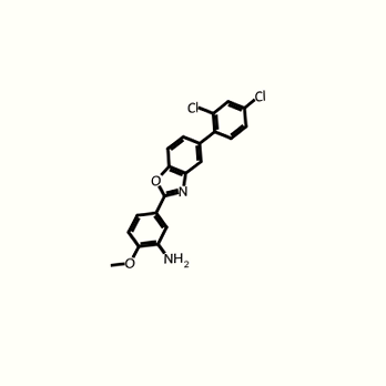 COc1ccc(-c2nc3cc(-c4ccc(Cl)cc4Cl)ccc3o2)cc1N